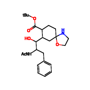 CC(=O)NC(Cc1ccccc1)C(O)C1CC2(CCC1C(=O)OC(C)(C)C)NCCO2